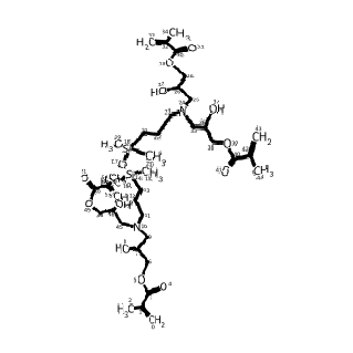 C=C(C)C(=O)OCC(O)CN(CCC[Si](C)(C)O[Si](C)(C)CCCN(CC(O)COC(=O)C(=C)C)CC(O)COC(=O)C(=C)C)CC(O)COC(=O)C(=C)C